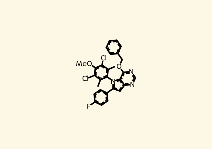 COc1c(Cl)c(C)c(-n2c(-c3ccc(F)cc3)cc3ncnc(OCc4ccccc4)c32)c(C)c1Cl